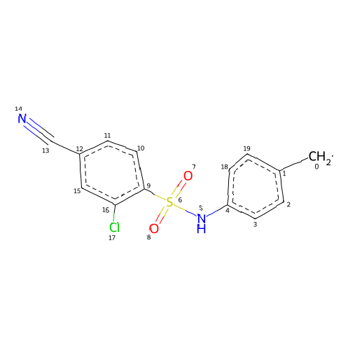 [CH2]c1ccc(NS(=O)(=O)c2ccc(C#N)cc2Cl)cc1